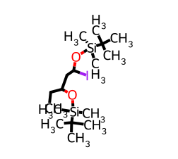 CCC(CC(I)O[Si](C)(C)C(C)(C)C)O[Si](C)(C)C(C)(C)C